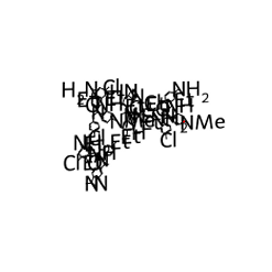 CCc1c(N)cc(Cl)c(CC)c1NC(=O)N(Cc1ccc(Cl)cc1)c1ccc(NC)cc1.CCc1ccc(N(C(=O)Nc2c(CC)c(N)cc(Cl)c2CC)C(C)c2ccc3[nH]cnc3c2)cc1.CCc1ccc(N(C(=O)Nc2c(CC)c(N)cc(Cl)c2CC)C(C)c2ccc3c(c2)ncn3C)cc1.CCc1ccc(N)c(CC)c1NC(=O)N(Cc1ccc(Cl)cc1)c1ccc(NC)cc1